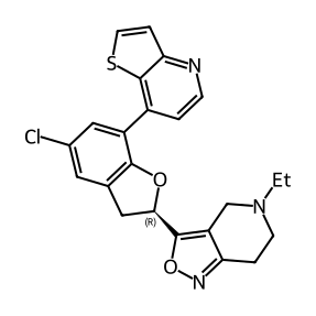 CCN1CCc2noc([C@H]3Cc4cc(Cl)cc(-c5ccnc6ccsc56)c4O3)c2C1